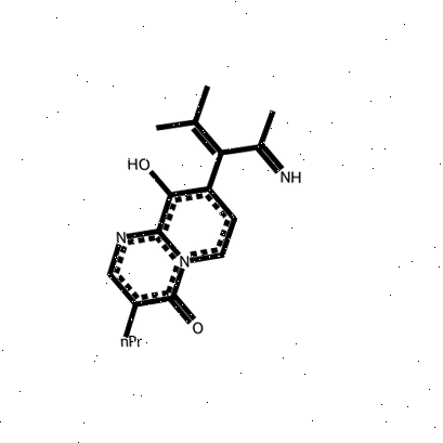 CCCc1cnc2c(O)c(C(C(C)=N)=C(C)C)ccn2c1=O